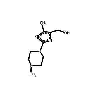 Cc1sc(N2CCN(C)CC2)nc1CO